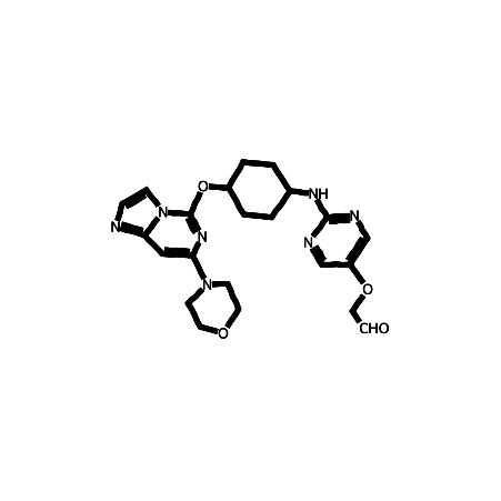 O=CCOc1cnc(NC2CCC(Oc3nc(N4CCOCC4)cc4nccn34)CC2)nc1